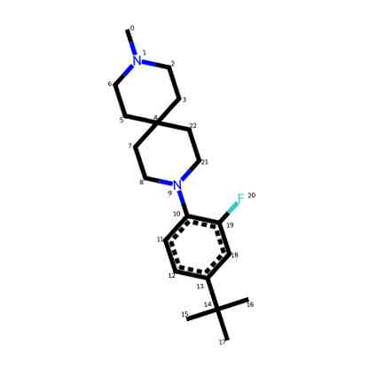 CN1CCC2(CC1)CCN(c1ccc(C(C)(C)C)cc1F)CC2